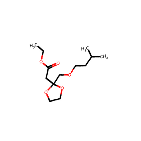 CCOC(=O)CC1(COCCC(C)C)OCCO1